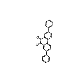 O=C1C(=O)c2cc(-c3ccccc3)ccc2-c2ccc(-c3ccccc3)cc21